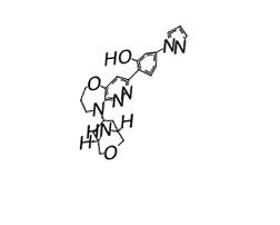 Oc1cc(-n2cccn2)ccc1-c1cc2c(nn1)N([C@@H]1C[C@H]3COC[C@@H](C1)N3)CCCO2